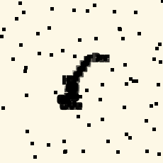 CCCCCCCCCCCCCCCCCCNc1ccc(C(=O)CCC(=O)OC)cc1